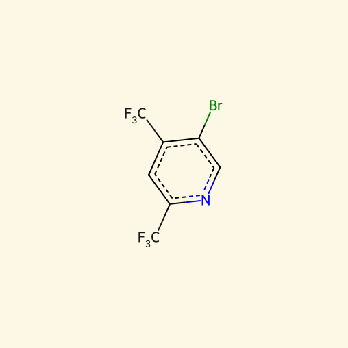 FC(F)(F)c1cc(C(F)(F)F)c(Br)cn1